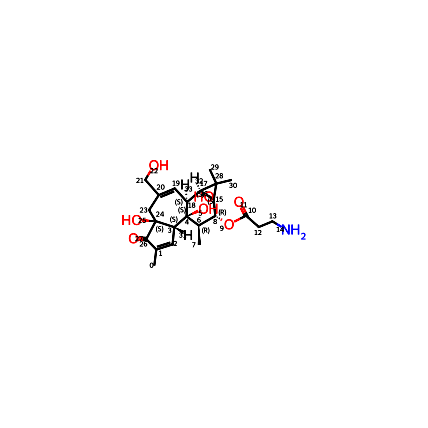 CC1=C[C@H]2[C@@]3(O)[C@H](C)[C@@H](OC(=O)CCN)[C@]4(O)[C@@H]([C@@H]3C=C(CO)C[C@@]2(O)C1=O)C4(C)C